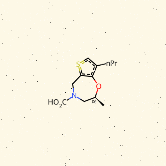 CCCc1csc2c1O[C@@H](C)CN(C(=O)O)C2